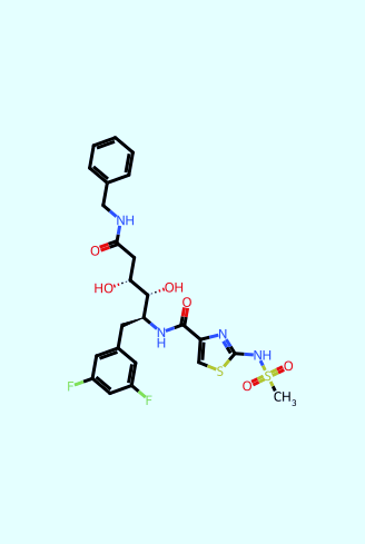 CS(=O)(=O)Nc1nc(C(=O)N[C@@H](Cc2cc(F)cc(F)c2)[C@@H](O)[C@H](O)CC(=O)NCc2ccccc2)cs1